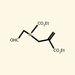 C=C(CN(CC=O)C(=O)OCC)C(=O)OCC